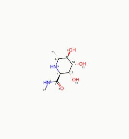 CNC(=O)[C@H]1N[C@H](C)[C@@H](O)[C@H](O)[C@@H]1O